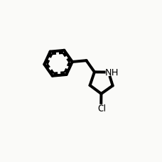 ClC1CNC(Cc2ccccc2)C1